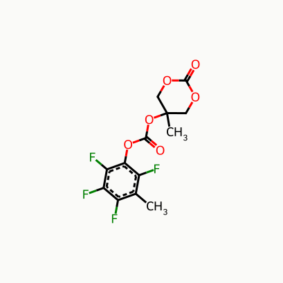 Cc1c(F)c(F)c(F)c(OC(=O)OC2(C)COC(=O)OC2)c1F